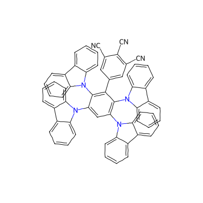 N#Cc1cc(-c2c(-n3c4ccccc4c4ccccc43)c(-n3c4ccccc4c4ccccc43)cc(-n3c4ccccc4c4ccccc43)c2-n2c3ccccc3c3ccccc32)cc(C#N)c1C#N